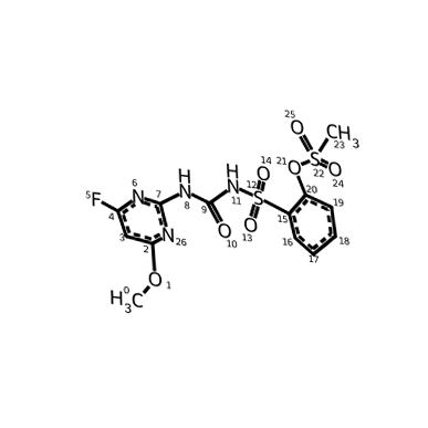 COc1cc(F)nc(NC(=O)NS(=O)(=O)c2ccccc2OS(C)(=O)=O)n1